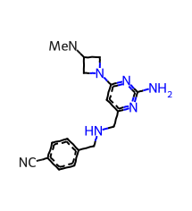 CNC1CN(c2cc(CNCc3ccc(C#N)cc3)nc(N)n2)C1